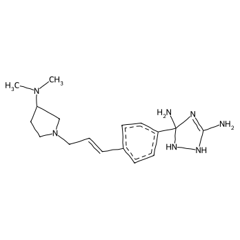 CN(C)C1CCN(CC=Cc2ccc(C3(N)N=C(N)NN3)cc2)C1